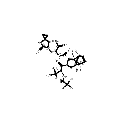 CC(C)(C)[C@H](NC(=O)C(F)(F)F)C(=O)N1C[C@H]2[C@@H]([C@H]1C(=O)N[C@@H](C[C@@H]1CC3(CC3)NC1=O)C(N)=O)[C@H]1C=C[C@@H]2C1